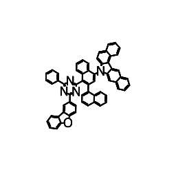 c1ccc(-c2nc(-c3ccc4oc5ccccc5c4c3)nc(-c3c(-c4cccc5ccccc45)cc(-n4c5cc6ccccc6cc5c5c6ccccc6ccc54)c4ccccc34)n2)cc1